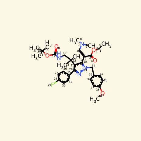 CCOC(=O)C(=CN(C)C)c1c(C(C)(C)CNC(=O)OC(C)(C)C)c(-c2ccc(F)cc2)nn1Cc1ccc(OC)cc1